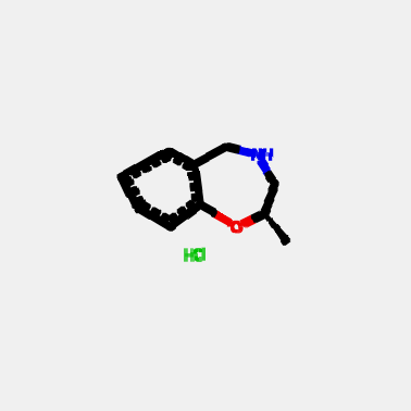 C[C@@H]1CNCc2ccccc2O1.Cl